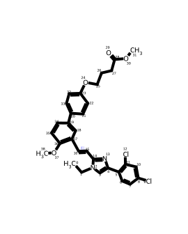 CCn1cc(-c2ccc(Cl)cc2Cl)nc1/C=C/c1cc(-c2ccc(OCCCC(=O)OC)cc2)ccc1OC